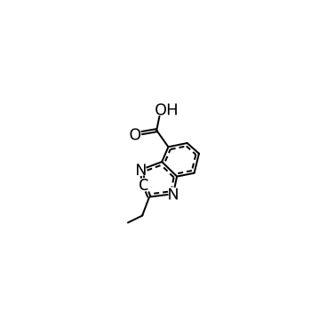 CCc1cnc2c(C(=O)O)cccc2n1